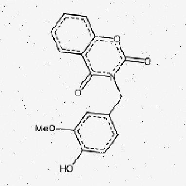 COc1cc(Cn2c(=O)oc3ccccc3c2=O)ccc1O